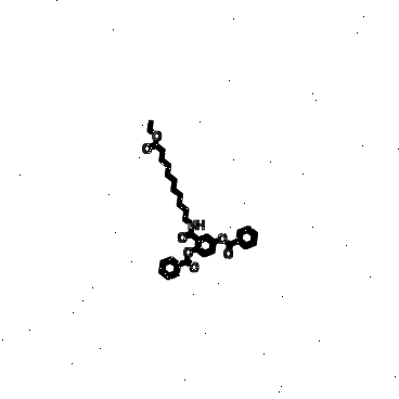 CCOC(=O)CCCCCCCCCCNC(=O)c1cc(OC(=O)c2ccccc2)ccc1OC(=O)c1ccccc1